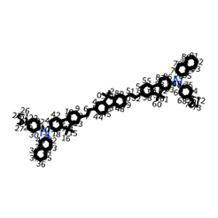 CC1(C)c2cc(/C=C/c3ccc4c(c3)C(C)(C)c3cc(N(c5ccc([Si](C)(C)C)cc5)c5ccc6ccccc6c5)ccc3-4)ccc2-c2ccc(/C=C/c3ccc4c(c3)C(C)(C)c3cc(N(c5ccc([Si](C)(C)C)cc5)c5ccc6ccccc6c5)ccc3-4)cc21